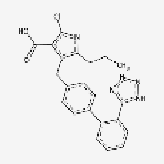 CCCc1nc(Cl)c(C(=O)O)n1Cc1ccc(-c2ccccc2-c2nnn[nH]2)cc1